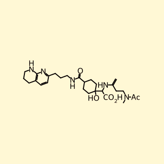 C=C(CCN(C)C(C)=O)NC(C(=O)O)C1(O)CCC(C(=O)NCCCc2ccc3c(n2)NCCC3)CC1